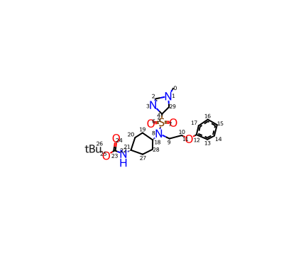 CN1C=NC(S(=O)(=O)N(CCOc2ccccc2)[C@H]2CC[C@@H](NC(=O)OC(C)(C)C)CC2)C1